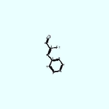 O=[C]C(F)=Cc1ccccc1